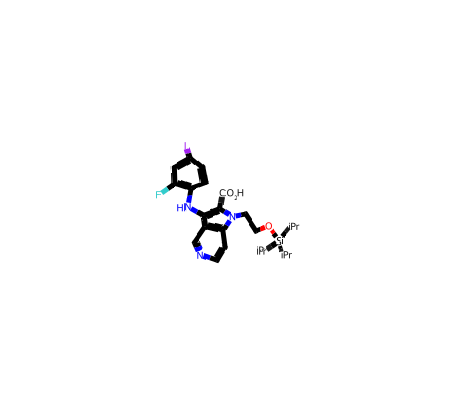 CC(C)[Si](OCCn1c(C(=O)O)c(Nc2ccc(I)cc2F)c2cnccc21)(C(C)C)C(C)C